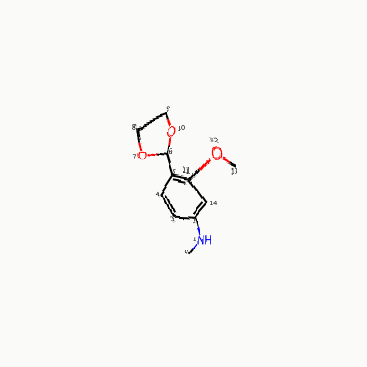 CNc1ccc(C2OCCO2)c(OC)c1